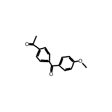 COc1ccc(C(=O)c2ccc(C(C)=O)cc2)cc1